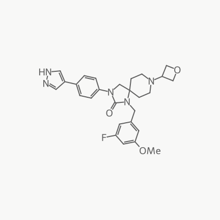 COc1cc(F)cc(CN2C(=O)N(c3ccc(-c4cn[nH]c4)cc3)CC23CCN(C2COC2)CC3)c1